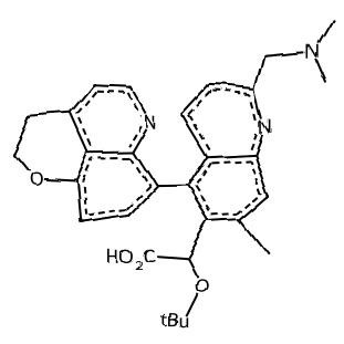 Cc1cc2nc(CN(C)C)ccc2c(-c2ccc3c4c(ccnc24)CCO3)c1C(OC(C)(C)C)C(=O)O